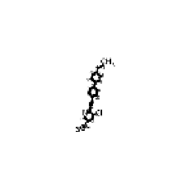 CCCc1ccc(-c2ccc(C#Cc3ncc(N=C=S)cc3Cl)cc2)cc1